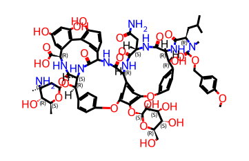 COc1ccc(COC(=O)N(C)[C@H](CC(C)C)C(=O)N[C@H]2C(=O)N[C@@H](CC(N)=O)C(=O)N[C@H]3C(=O)NC4C(=O)N[C@H](C(=O)N[C@@H](C(=O)O)c5cc(O)cc(O)c5-c5cc4ccc5O)[C@H](OC4C[C@](C)(N)[C@@H](O)[C@H](C)O4)c4ccc(cc4)Oc4cc3cc(c4O[C@@H]3O[C@H](CO)[C@@H](O)[C@H](O)[C@H]3O)Oc3ccc(cc3)[C@H]2O)cc1